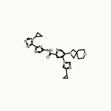 O=C(Nc1csc(-c2nncn2C2CC2)n1)c1cc(-n2cnc(C3CC3)c2)c(N2CC3(CCOCC3)C2)cn1